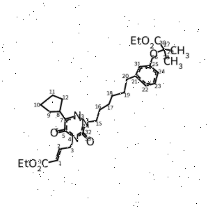 CCOC(=O)/C=C/Cn1c(=O)c(C2CCCC2)nn(CCCCCCc2cccc(OC(C)(C)C(=O)OCC)c2)c1=O